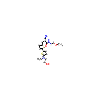 COCCNC(=O)C(C#N)Cc1ccc(-c2ccc(N(C)CCO)s2)s1